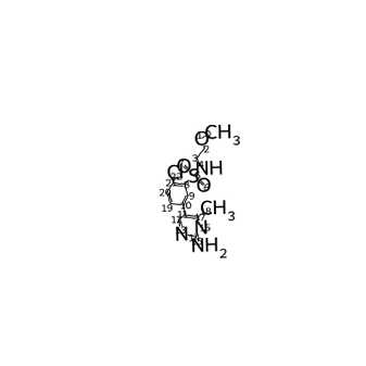 COCCNS(=O)(=O)c1cc(-c2cnc(N)nc2C)ccc1Cl